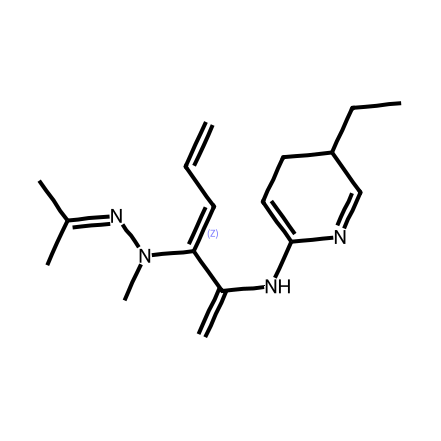 C=C/C=C(/C(=C)NC1=CCC(CC)C=N1)N(C)N=C(C)C